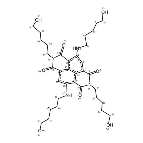 O=C1c2cc(NCCCCCO)c3c4c(cc(NCCCCCO)c(c24)C(=O)N1CCCCCO)C(=O)N(CCCCCO)C3=O